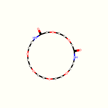 O=C1COCCOCC(=O)NCCOCCOCCOCCOCCN1